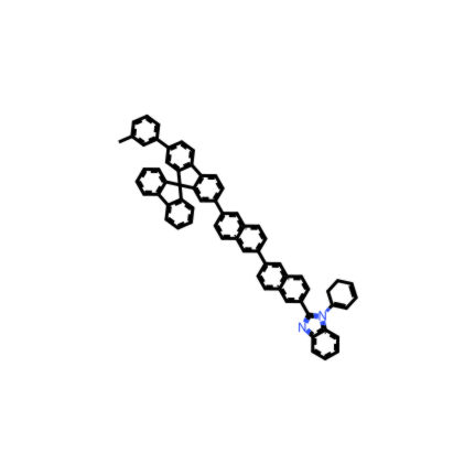 Cc1cccc(-c2ccc3c(c2)C2(c4ccccc4-c4ccccc42)c2cc(-c4ccc5cc(-c6ccc7cc(-c8nc9ccccc9n8C8=CC=CCC8)ccc7c6)ccc5c4)ccc2-3)c1